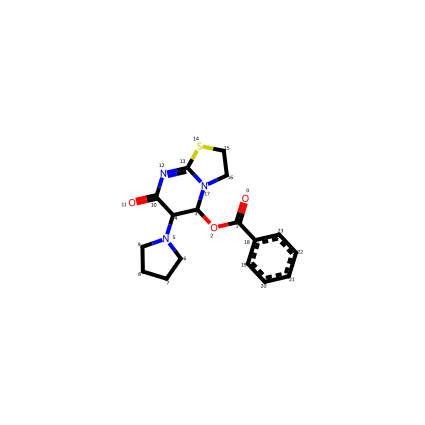 O=C(OC1C(N2CCCC2)C(=O)N=C2SCCN21)c1ccccc1